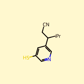 CC(C)C(CC#N)c1cncc(S)c1